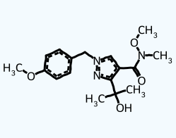 COc1ccc(Cn2cc(C(=O)N(C)OC)c(C(C)(C)O)n2)cc1